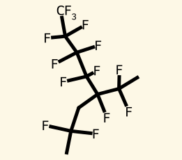 CC(F)(F)CC(F)(C(C)(F)F)C(F)(F)C(F)(F)C(F)(F)C(F)(F)F